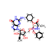 C#C[C@@]1(O)[C@H](O)[C@@H](COP(=S)(N[C@@H](C)C(=O)OC2CCCCC2)Oc2ccccc2)O[C@@H]1n1cnc2c(=O)[nH]c(N)nc21